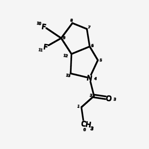 CCC(=O)N1CC2CCC(F)(F)C2C1